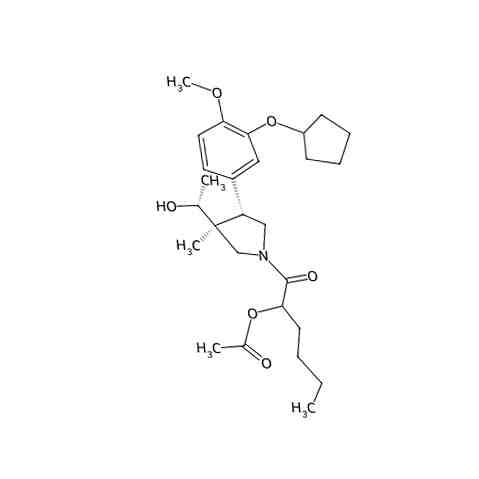 CCCCC(OC(C)=O)C(=O)N1C[C@@H](c2ccc(OC)c(OC3CCCC3)c2)[C@](C)([C@@H](C)O)C1